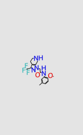 COc1ccc(C)cc1NC(=O)Cn1nc(C(F)(F)F)c2c1CNCC2